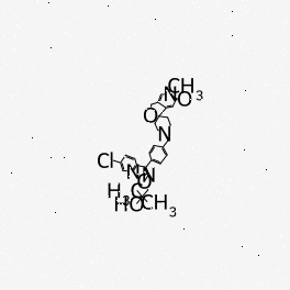 Cn1cc2c(cc1=O)C1(CCN(Cc3ccc(/C(=N/OCC(C)(C)O)c4ccc(Cl)cn4)cc3)CC1)OC2